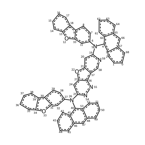 c1ccc2c(N(c3ccc4c(c3)oc3ccccc34)c3cc4oc5cc(N(c6ccc7c(c6)oc6ccccc67)c6c7ccccc7cc7ccccc67)nnc5c4cn3)c3ccccc3cc2c1